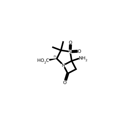 CC1(C)[C@H](C(=O)O)N2C(=O)CC2(N)S1(=O)=O